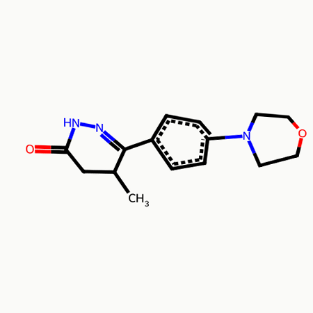 CC1CC(=O)NN=C1c1ccc(N2CCOCC2)cc1